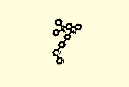 c1ccc(-c2nc3c4c(-c5ccc(-c6ccc(-c7cccc(-c8cccnc8)n7)cc6)cc5)nc5ccccc5c4ccc3n2-c2ccccc2)cc1